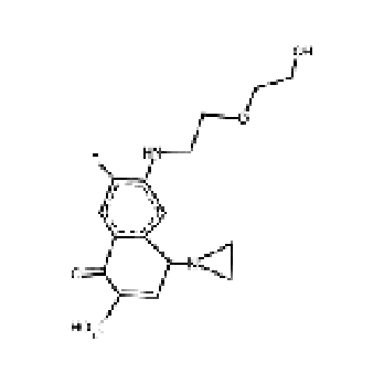 O=C(O)C1=CC(N2CC2)c2cc(NCCOCCO)c(F)cc2C1=O